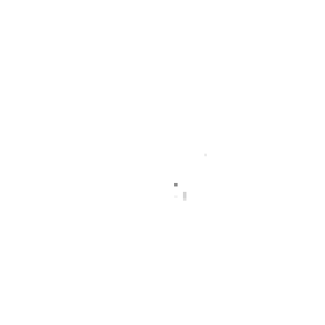 CC(=O)O[C@H]1S[C@@H](C(O)Cc2ccccc2)[C@](O)(Cc2ccccc2)[C@@]1(O)Cc1ccccc1